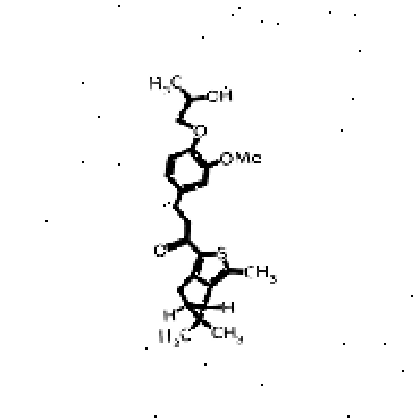 COc1cc(CCC(=O)c2sc(C)c3c2C[C@@H]2[C@H]3C2(C)C)ccc1OCC(C)O